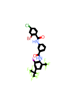 O=C(Nc1c(I)cc(C(F)(C(F)(F)F)C(F)(F)F)cc1C(F)(F)F)c1cccc(NC(=O)c2ccc(Cl)cc2Br)c1